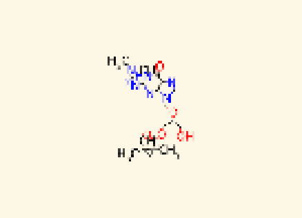 CN(C)/C=N\c1nc2c(ncn2COC(CO)COC(=O)C2(C)CC2(C)C)c(=O)[nH]1